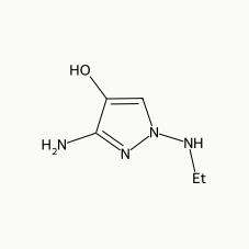 CCNn1cc(O)c(N)n1